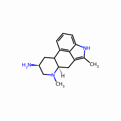 Cc1[nH]c2cccc3c2c1C[C@@H]1C3C[C@H](N)CN1C